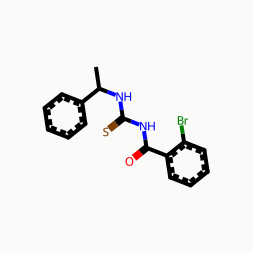 CC(NC(=S)NC(=O)c1ccccc1Br)c1ccccc1